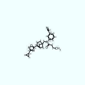 CCCC(=O)N(CC12CCC(c3nc(C4CC4)no3)=C(C1)C2)c1cccc(C#N)c1